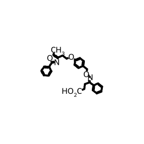 Cc1oc(-c2ccccc2)nc1CCOc1ccc(CO/N=C(\CCC(=O)O)c2ccccc2)cc1